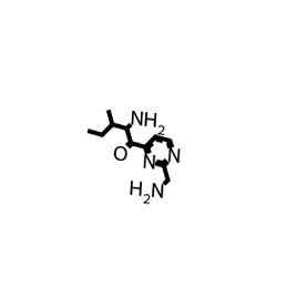 CCC(C)C(N)C(=O)c1ccnc(CN)n1